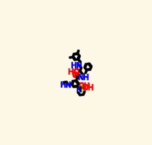 CCNc1cc(C(=O)N[C@@H](Cc2ccccc2)[C@@H](O)CNCc2cc(C)cc(C)c2)cc(N2CCCCS2(O)O)c1